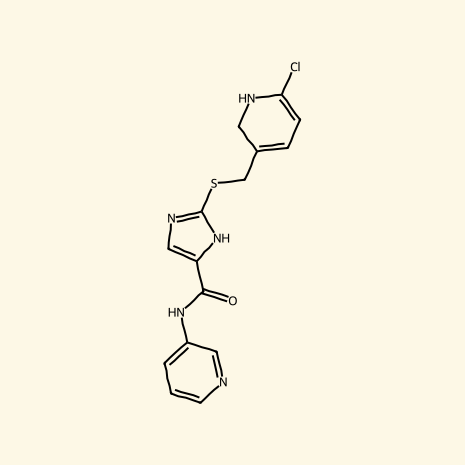 O=C(Nc1cccnc1)c1cnc(SCC2=CC=C(Cl)NC2)[nH]1